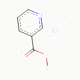 CCOC(=O)c1cccnc1.N